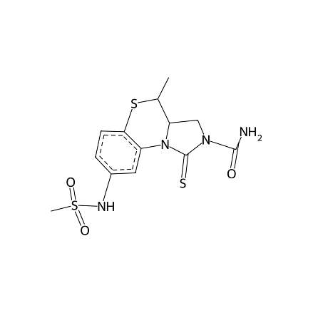 CC1Sc2ccc(NS(C)(=O)=O)cc2N2C(=S)N(C(N)=O)CC12